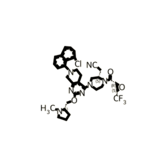 CN1CCC[C@H]1COc1nc2c(c(N3CCN(C(=O)[C@@H]4O[C@@H]4C(F)(F)F)[C@@H](CC#N)C3)n1)CCN(c1cccc3cccc(Cl)c13)C2